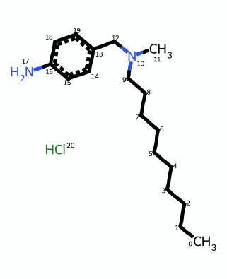 CCCCCCCCCCN(C)Cc1ccc(N)cc1.Cl